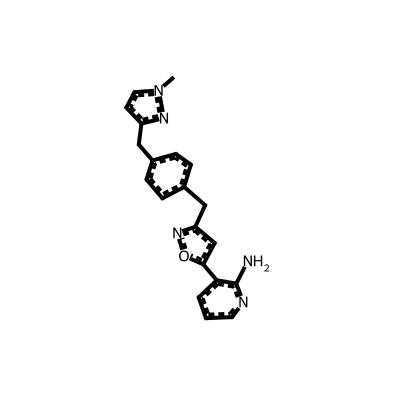 Cn1ccc(Cc2ccc(Cc3cc(-c4cccnc4N)on3)cc2)n1